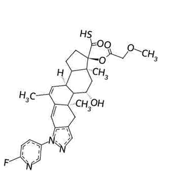 COCC(=O)O[C@]1(C(=O)S)CCC2[C@@H]3C=C(C)C4=Cc5c(cnn5-c5ccc(F)nc5)C[C@]4(C)C3[C@@H](O)C[C@@]21C